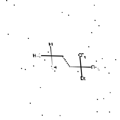 CCC(C)(C)CCC(C)(CC)C(F)(F)F